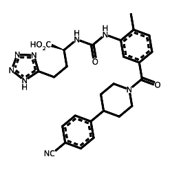 Cc1ccc(C(=O)N2CCC(c3ccc(C#N)cc3)CC2)cc1NC(=O)N[C@@H](CCc1nnn[nH]1)C(=O)O